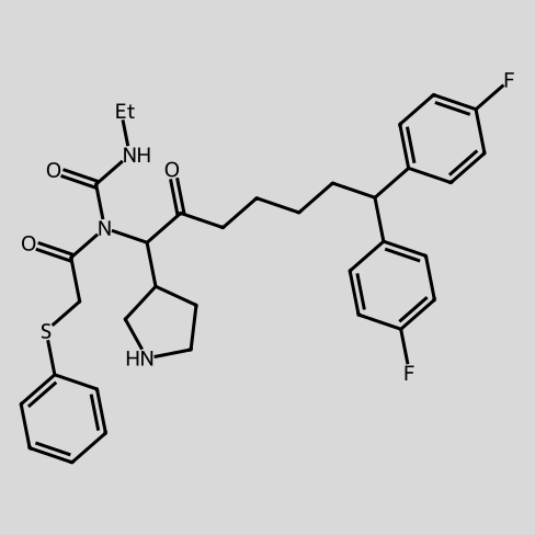 CCNC(=O)N(C(=O)CSc1ccccc1)C(C(=O)CCCCC(c1ccc(F)cc1)c1ccc(F)cc1)C1CCNC1